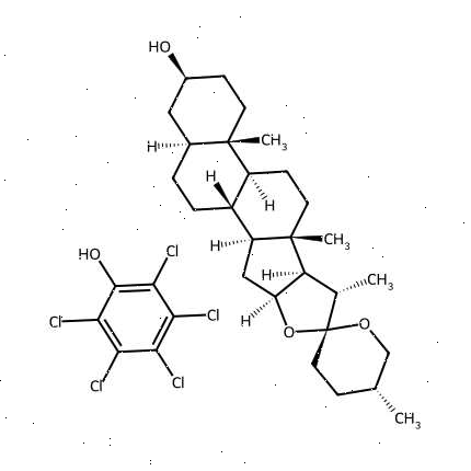 C[C@@H]1CC[C@@]2(OC1)O[C@H]1C[C@H]3[C@@H]4CC[C@H]5C[C@@H](O)CC[C@]5(C)[C@H]4CC[C@]3(C)[C@H]1[C@@H]2C.Oc1c(Cl)c(Cl)c(Cl)c(Cl)c1Cl